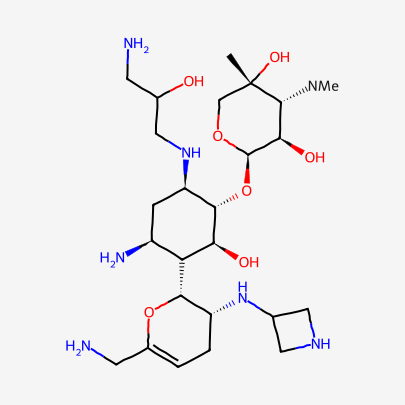 CN[C@@H]1[C@@H](O)[C@@H](O[C@H]2[C@H](NCC(O)CN)C[C@H](N)C([C@H]3OC(CN)=CC[C@H]3NC3CNC3)[C@@H]2O)OC[C@]1(C)O